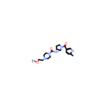 CCOCCN1CCN(C(=O)N[C@@H]2CCN(C(=O)c3ccc(C)nc3)C2)CC1